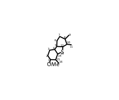 COC1CCC2C3CCC(C)C(C)C3SC2C1C